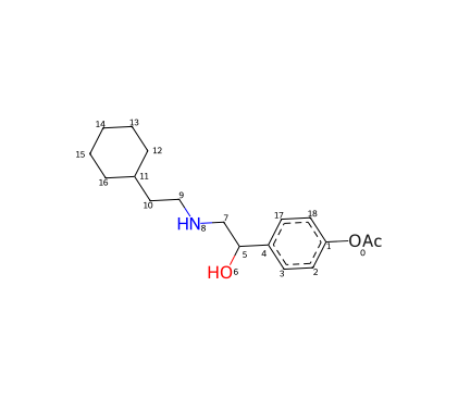 CC(=O)Oc1ccc(C(O)CNCCC2CCCCC2)cc1